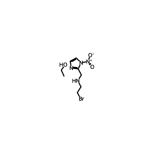 CCO.O=[N+]([O-])n1ccnc1CNCCBr